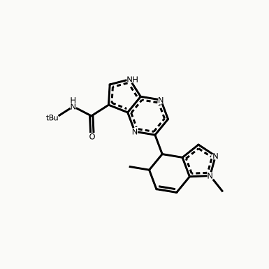 CC1C=Cc2c(cnn2C)C1c1cnc2[nH]cc(C(=O)NC(C)(C)C)c2n1